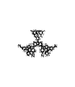 Cc1cc(C)c(B(c2ccc(-n3c4ccc(-n5c6ccc(C#N)cc6c6c5ccc5c7cc(C#N)ccc7n(-c7ccccc7)c56)cc4c4cc(-n5c6ccc(C#N)cc6c6c5ccc5c7cc(C#N)ccc7n(-c7ccccc7)c56)ccc43)cc2)c2c(C)cc(C)cc2C)c(C)c1